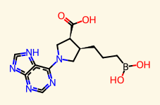 O=C(O)[C@@H]1CN(c2ncnc3nc[nH]c23)C[C@@H]1CCCB(O)O